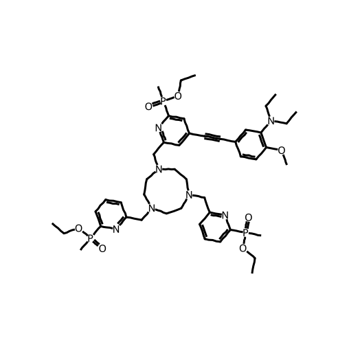 CCOP(C)(=O)c1cccc(CN2CCN(Cc3cccc(P(C)(=O)OCC)n3)CCN(Cc3cc(C#Cc4ccc(OC)c(N(CC)CC)c4)cc(P(C)(=O)OCC)n3)CC2)n1